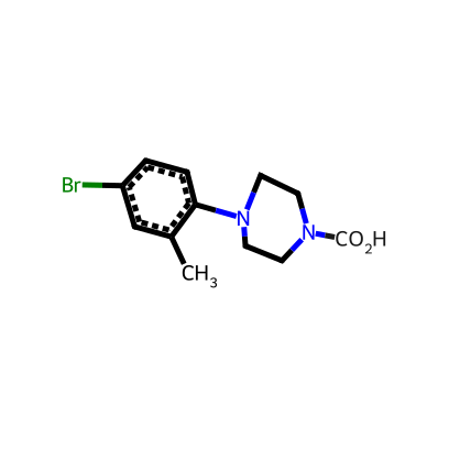 Cc1cc(Br)ccc1N1CCN(C(=O)O)CC1